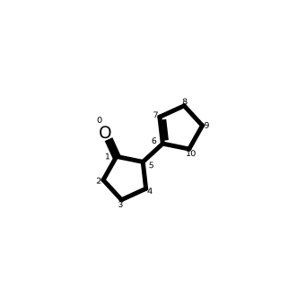 O=C1CCCC1C1=CCCC1